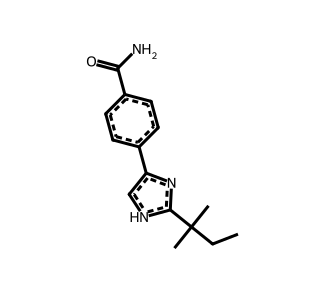 CCC(C)(C)c1nc(-c2ccc(C(N)=O)cc2)c[nH]1